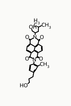 Cc1cc(CCCO)ccc1N1C(=O)c2ccc3c4c(ccc(c24)C1=O)C(=O)N(C(CO)CC(C)C)C3=O